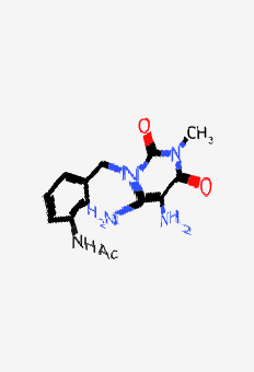 CC(=O)Nc1cccc(Cn2c(N)c(N)c(=O)n(C)c2=O)c1